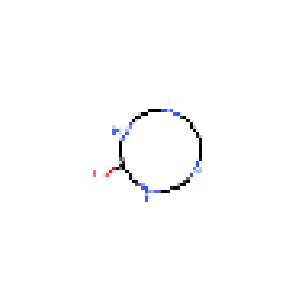 OC1CNCCNCCCNCCNC1